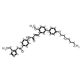 CCCCOCCOc1ccc(-c2ccc(OC)c(/C=C/C(=O)Nc3ccc([S@@+]([O-])Cc4cncn4CC)cc3)c2)cc1